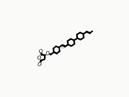 CCCC1CCC(C2CCC(/C=C/C3CCC(COC4CC(=O)OC4=O)CC3)CC2)CC1